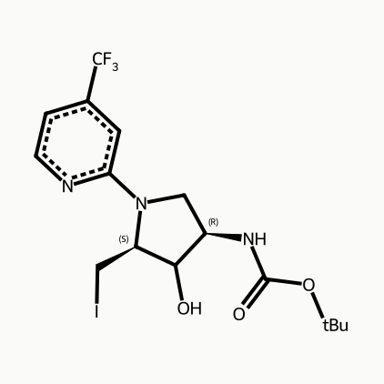 CC(C)(C)OC(=O)N[C@@H]1CN(c2cc(C(F)(F)F)ccn2)[C@H](CI)C1O